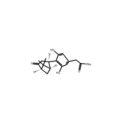 COC(=O)Cc1cc(O)c([C@@H]2CC(=O)[C@@H]3C[C@H]2C3(C)C)c(O)c1